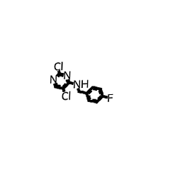 Fc1ccc(CNc2nc(Cl)ncc2Cl)cc1